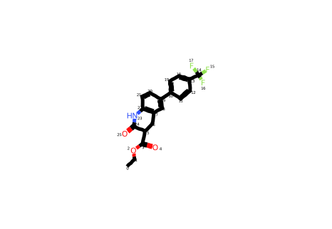 CCOC(=O)C1Cc2cc(-c3ccc(C(F)(F)F)cc3)ccc2NC1=O